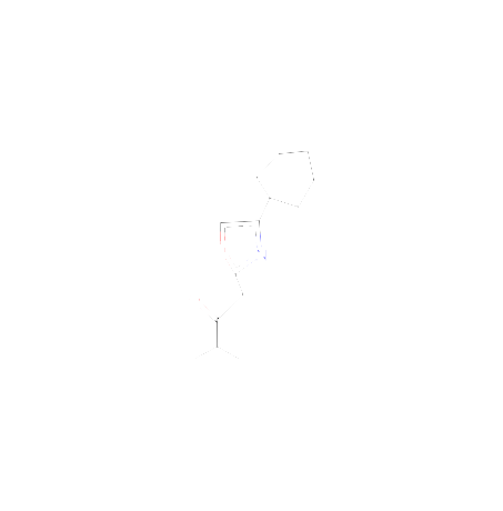 CC(C)C(=O)Cc1nc(C2CCCCC2)co1